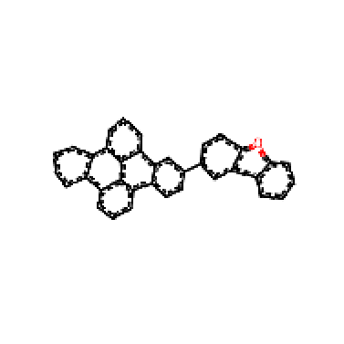 c1ccc2c(c1)oc1ccc(-c3ccc4c(c3)c3cccc5c6ccccc6c6cccc4c6c53)cc12